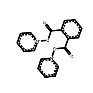 O=C(O[n+]1ccccc1)c1ccccc1C(=O)O[n+]1ccccc1